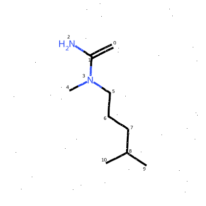 C=C(N)N(C)CCCC(C)C